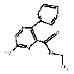 CCNC(=O)c1nc(C)cnc1-c1cnccn1